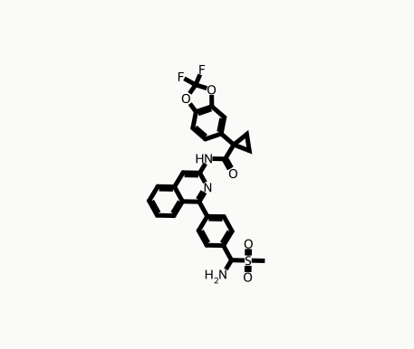 CS(=O)(=O)C(N)c1ccc(-c2nc(NC(=O)C3(c4ccc5c(c4)OC(F)(F)O5)CC3)cc3ccccc23)cc1